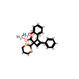 COC(=O)C1(C2SCCCS2)C=C(c2ccccc2)C1c1ccccc1C